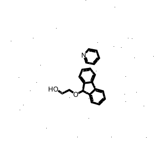 OCCOC1c2ccccc2-c2ccccc21.c1ccncc1